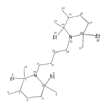 CCC1(C)CCC(C)C(C)(CC)N1CCCCN1C(C)(CC)CCC(C)C1(C)CC